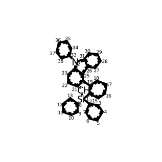 C[Si](c1ccccc1)(c1ccccc1)c1ccccc1-c1cccc2c1c1ccccc1n2-c1ccccc1